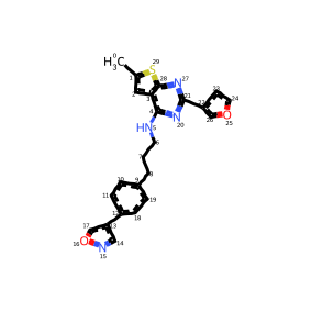 Cc1cc2c(NCCCc3ccc(-c4cnoc4)cc3)nc(-c3ccoc3)nc2s1